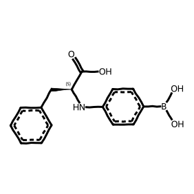 O=C(O)[C@H](Cc1ccccc1)Nc1ccc(B(O)O)cc1